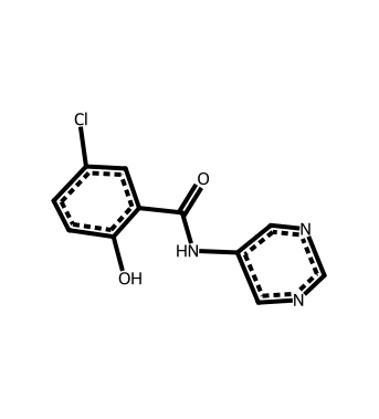 O=C(Nc1cncnc1)c1cc(Cl)ccc1O